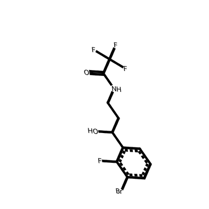 O=C(NCCC(O)c1cccc(Br)c1F)C(F)(F)F